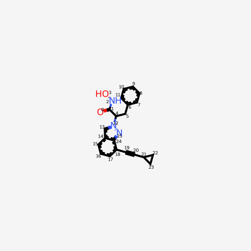 O=C(NO)C(Cc1ccccc1)n1cc2cccc(C#CC3CC3)c2n1